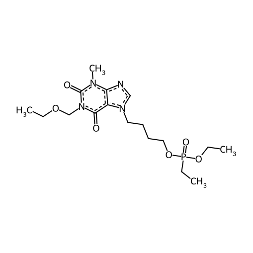 CCOCn1c(=O)c2c(ncn2CCCCOP(=O)(CC)OCC)n(C)c1=O